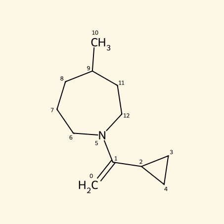 C=C(C1CC1)N1CCCC(C)CC1